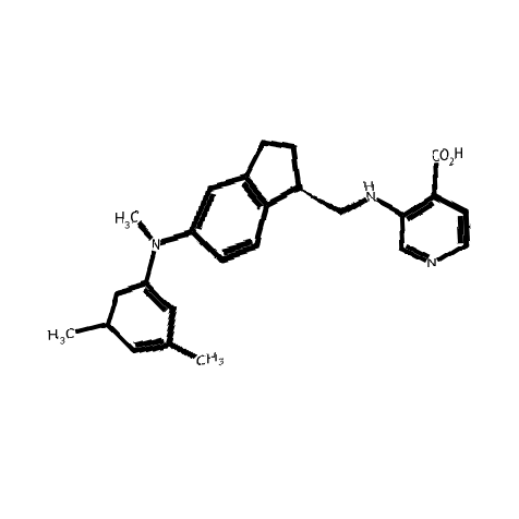 CC1=CC(C)CC(N(C)c2ccc3c(c2)CC[C@H]3CNc2cnccc2C(=O)O)=C1